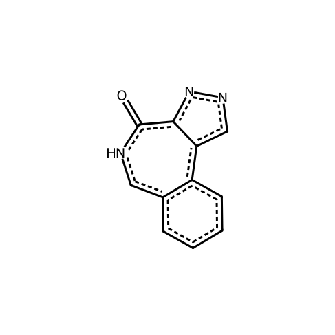 O=c1[nH]cc2ccccc2c2cnnc1-2